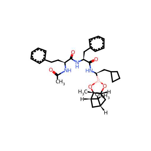 CC(=O)N[C@@H](CCc1ccccc1)C(=O)N[C@@H](Cc1ccccc1)C(=O)N[C@@H](CC1CCC1)B1O[C@@H]2C[C@@H]3C[C@@H](C3(C)C)[C@]2(C)O1